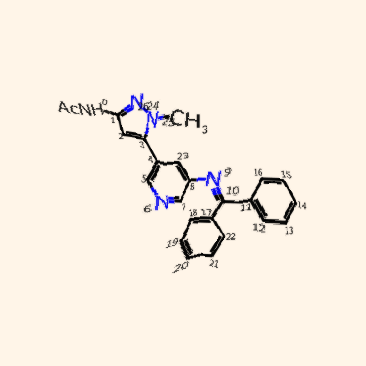 CC(=O)Nc1cc(-c2cncc(N=C(c3ccccc3)c3ccccc3)c2)n(C)n1